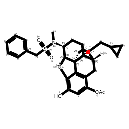 CC(=O)Oc1cc(O)c2c3c1C[C@@H]1[C@@H]4CC[C@H](N(C)S(=O)(=O)Cc5ccccc5)[C@H](O2)[C@]34CCN1CC1CC1